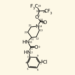 O=C(Nc1cccc(Cl)c1)NC1CCN(C(=O)OC(C(F)(F)F)C(F)(F)F)CC1